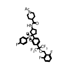 CC(=O)N1CCC(C(=O)NC2CCC(c3ccc(C(OCc4c(F)cccc4F)(C(F)(F)F)C(F)(F)F)cc3)(S(=O)(=O)c3ccc(F)cc3)C2)CC1